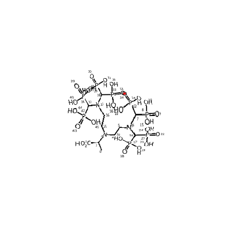 C[C@@H](C(=O)O)N(CCN(C(P(=O)(O)O)P(=O)(O)O)C(P(=O)(O)O)P(=O)(O)O)CCN(C(P(=O)(O)O)P(=O)(O)O)C(P(=O)(O)O)P(=O)(O)O